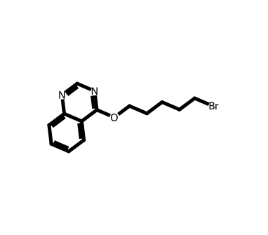 BrCCCCCOc1ncnc2ccccc12